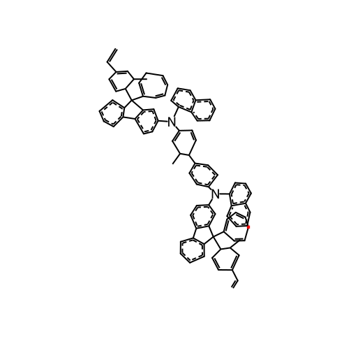 C=CC1=CC(C)C(C2(C3=CCC=CC=C3)c3ccccc3-c3ccc(N(C4=CC(C)C(c5ccc(N(c6ccc7c(c6)C(C6=CC=CCC=C6)(C6C=CC(C=C)=CC6C)c6ccccc6-7)c6cccc7ccccc67)cc5)C=C4)c4cccc5ccccc45)cc32)C=C1